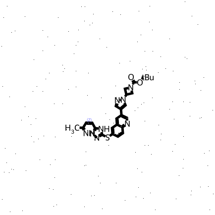 CC(=N)/C=C\c1nnc(Sc2ccc3ncc(-c4cnn(C5CN(C(=O)OC(C)(C)C)C5)c4)cc3c2)[nH]1